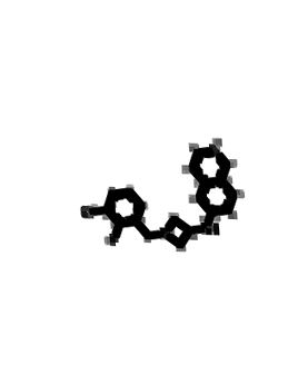 Fc1c(Cl)cccc1CN1CC(Nc2ccc3cnccc3c2)C1